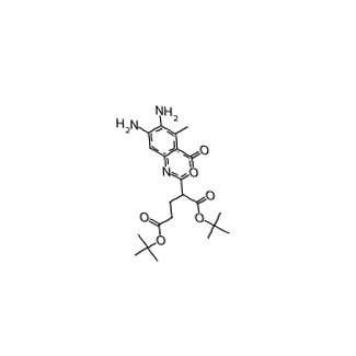 Cc1c(N)c(N)cc2nc(C(CCC(=O)OC(C)(C)C)C(=O)OC(C)(C)C)oc(=O)c12